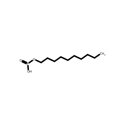 CCCCCCCCCCO[P](=O)O